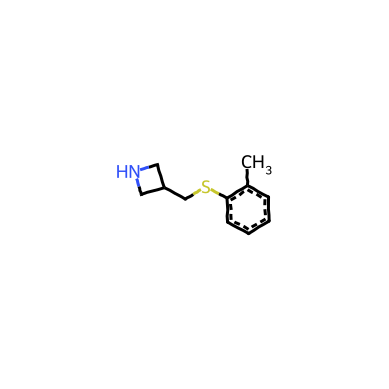 Cc1ccccc1SCC1CNC1